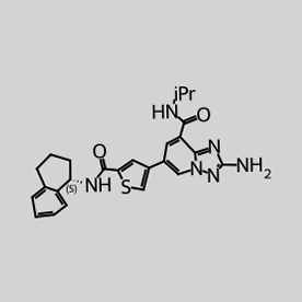 CC(C)NC(=O)c1cc(-c2csc(C(=O)N[C@H]3CCCc4ccccc43)c2)cn2nc(N)nc12